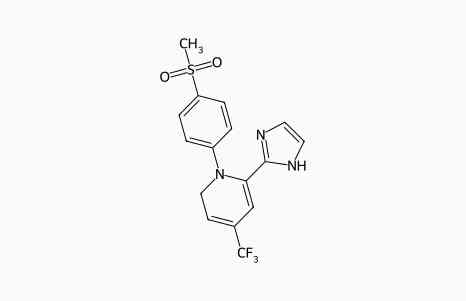 CS(=O)(=O)c1ccc(N2CC=C(C(F)(F)F)C=C2c2ncc[nH]2)cc1